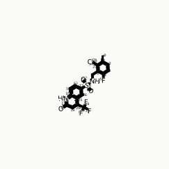 Cc1ccc(F)c(CNS(=O)(=O)c2ccc3[nH]c(=O)cc(C(F)(F)F)c3c2)c1Cl